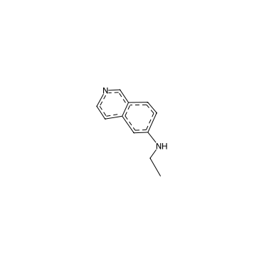 CCNc1ccc2cnccc2c1